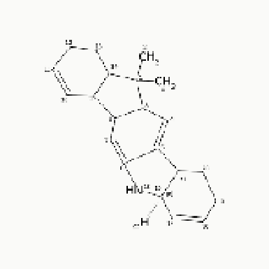 CC1(C)C2C=C3C(=CC2C2C=CCCC21)N[C@@H]1C=CCCC31